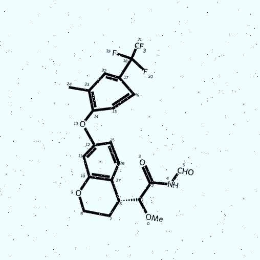 COC(C(=O)NC=O)[C@@H]1CCOc2cc(Oc3ccc(C(F)(F)C(F)(F)F)cc3C)ccc21